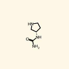 NC(=O)N[C@H]1CCNC1